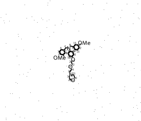 COc1cccc(CN(Cc2cccc(OC)c2)c2ccc(OCCOCCN3CCOCC3)cc2)c1